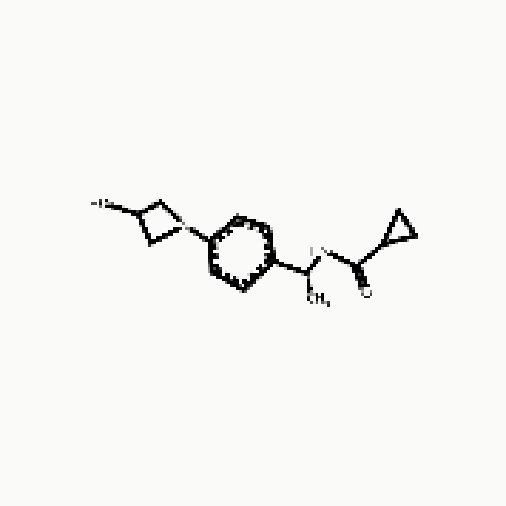 C[C@H](NC(=O)C1CC1)c1ccc(N2CC(O)C2)cc1